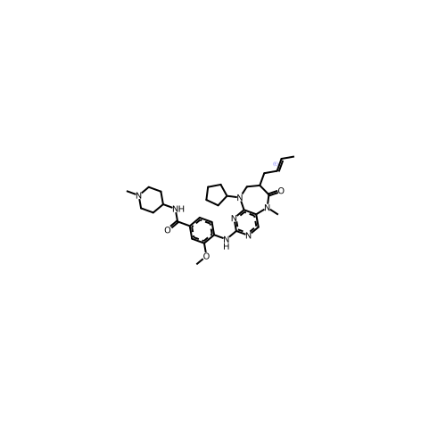 C/C=C/CC1CN(C2CCCC2)c2nc(Nc3ccc(C(=O)NC4CCN(C)CC4)cc3OC)ncc2N(C)C1=O